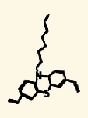 C=CC1=CC2Sc3cc(C=C)ccc3N(CCCCCCCC)C2C=C1